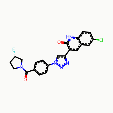 O=C(c1ccc(-n2cc(-c3cc4cc(Cl)ccc4[nH]c3=O)nn2)cc1)N1CC[C@H](F)C1